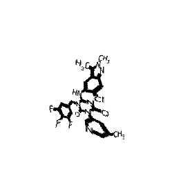 Cc1cncc(-n2c(=O)nc(Nc3cc4c(C)n(C)nc4cc3Cl)n(Cc3cc(F)c(F)c(F)c3)c2=O)c1